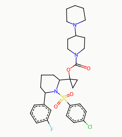 O=C(OC1(C2CCCC(c3cccc(F)c3)N2S(=O)(=O)c2ccc(Cl)cc2)CC1)N1CCC(N2CCCCC2)CC1